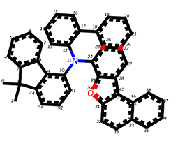 CC1(C)c2ccccc2-c2c(N(c3ccccc3-c3ccccc3)c3cccc4c3oc3ccc5ccccc5c34)cccc21